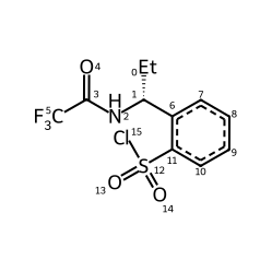 CC[C@@H](NC(=O)C(F)(F)F)c1ccccc1S(=O)(=O)Cl